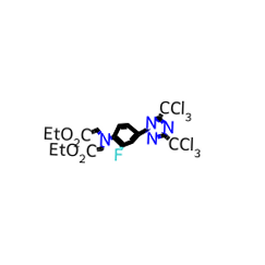 CCOC(=O)CN(CC(=O)OCC)c1ccc(-c2nc(C(Cl)(Cl)Cl)nc(C(Cl)(Cl)Cl)n2)cc1F